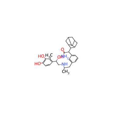 Cc1c(C(O)CNC(C)Cc2cccc(C(C(N)=O)C3C4CC5CC(C4)CC3C5)c2)ccc(O)c1O